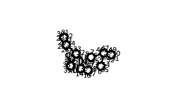 c1ccc(-c2c(-c3ccc(N(c4cccc5ccccc45)c4ccc(-c5ccc6ccccc6c5)c5sc6ccccc6c45)cc3)ccc3ccccc23)cc1